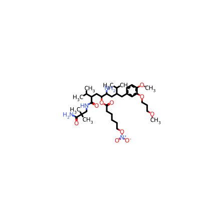 COCCCOc1cc(CC(CC(N)C(CC(C(=O)NCC(C)(C)C(N)=O)C(C)C)OC(=O)CCCCCO[N+](=O)[O-])C(C)C)ccc1OC